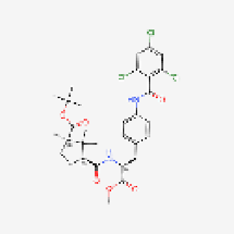 COC(=O)[C@H](Cc1ccc(NC(=O)c2c(Cl)cc(Cl)cc2Cl)cc1)NC(=O)[C@H]1CC[C@@](C)(C(=O)OC(C)(C)C)C1(C)C